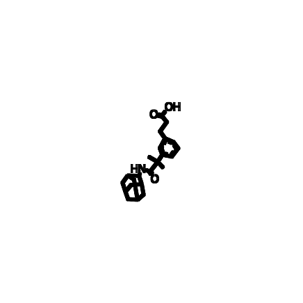 CC(C)(C(=O)NC1C2CC3CC(C2)CC1C3)c1cccc(CCC(=O)O)c1